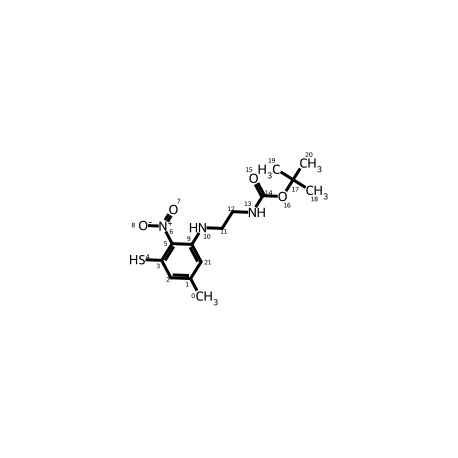 Cc1cc(S)c([N+](=O)[O-])c(NCCNC(=O)OC(C)(C)C)c1